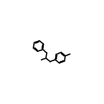 Cc1ccc([CH]C(C)Cc2ccccc2)cc1